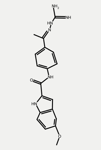 COc1ccc2[nH]c(C(=O)Nc3ccc(/C(C)=N/NC(=N)N)cc3)cc2c1